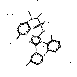 Cc1cncc(-c2nnc(NS(=O)(=O)[C@H](C)[C@H](C)c3cnc(C)cn3)n2-c2c(F)cccc2F)c1